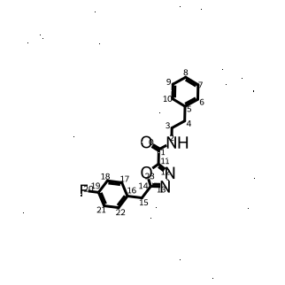 O=C(NCCc1ccccc1)c1nnc(Cc2ccc(F)cc2)o1